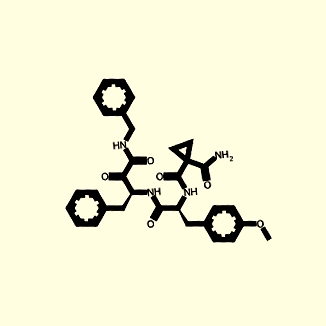 COc1ccc(C[C@H](NC(=O)C2(C(N)=O)CC2)C(=O)N[C@@H](Cc2ccccc2)C(=O)C(=O)NCc2ccccc2)cc1